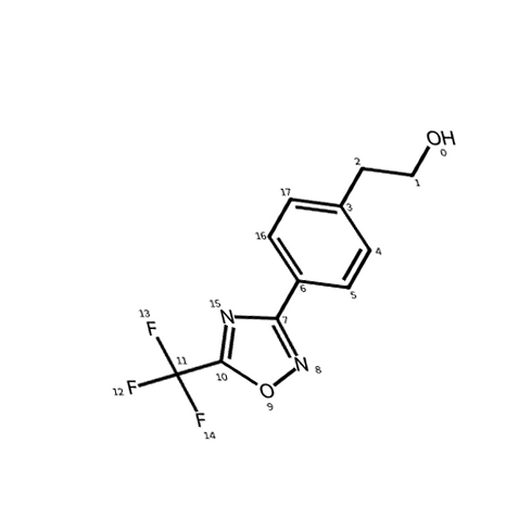 OCCc1ccc(-c2noc(C(F)(F)F)n2)cc1